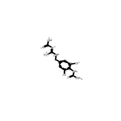 CC(=O)Nc1c(Cl)cc(CN/C(N)=N/C(=O)O)cc1Cl